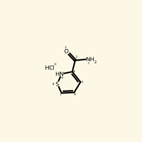 Cl.NC(=O)C1=CC=CSN1